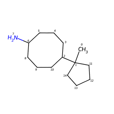 CC1(C2CCCC(N)CCC2)CCCC1